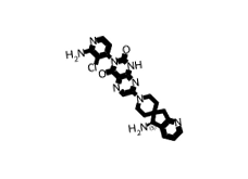 Nc1nccc(-n2c(=O)[nH]c3nc(N4CCC5(CC4)Cc4ncccc4[C@H]5N)cnc3c2=O)c1Cl